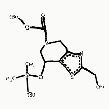 CC(C)(C)OC(=O)N1Cc2nc(CO)sc2C(O[Si](C)(C)C(C)(C)C)C1